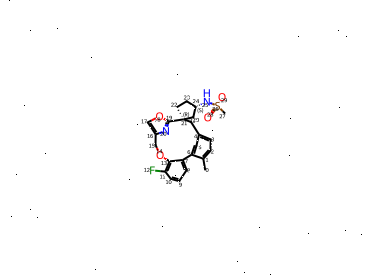 Cc1ccc2cc1-c1cccc(F)c1OCc1coc(n1)[C@]1(CC[C@H](NS(C)(=O)=O)C1)C2